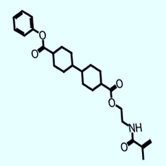 C=C(C)C(=O)NCCOC(=O)C1CCC(C2CCC(C(=O)Oc3ccccc3)CC2)CC1